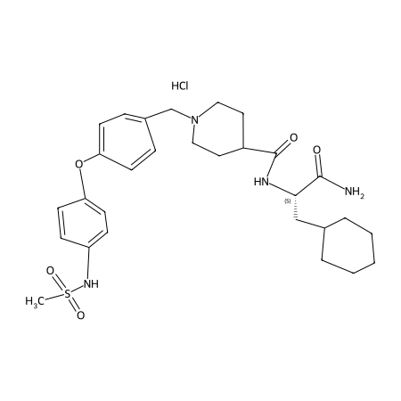 CS(=O)(=O)Nc1ccc(Oc2ccc(CN3CCC(C(=O)N[C@@H](CC4CCCCC4)C(N)=O)CC3)cc2)cc1.Cl